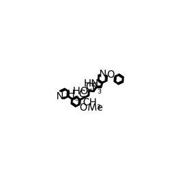 COc1ccc(-c2cccnc2)cc1C(C)(C)CC(O)(Cc1cc2cc(Oc3ccccc3)ncc2[nH]1)C(F)(F)F